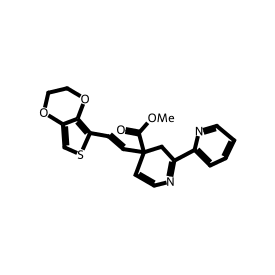 COC(=O)C1(C=Cc2scc3c2OCCO3)C=CN=C(c2ccccn2)C1